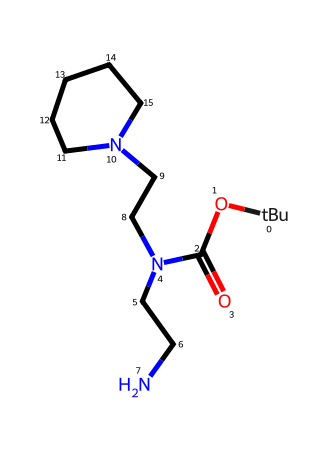 CC(C)(C)OC(=O)N(CCN)CCN1CCCCC1